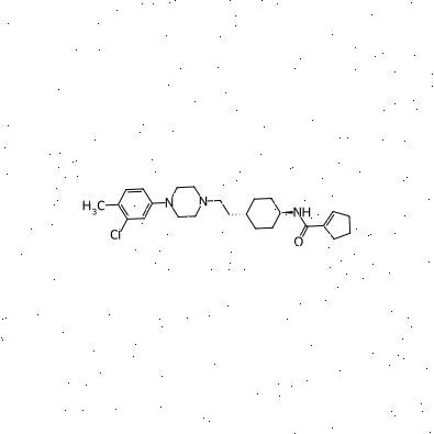 Cc1ccc(N2CCN(CC[C@H]3CC[C@H](NC(=O)C4=CCCC4)CC3)CC2)cc1Cl